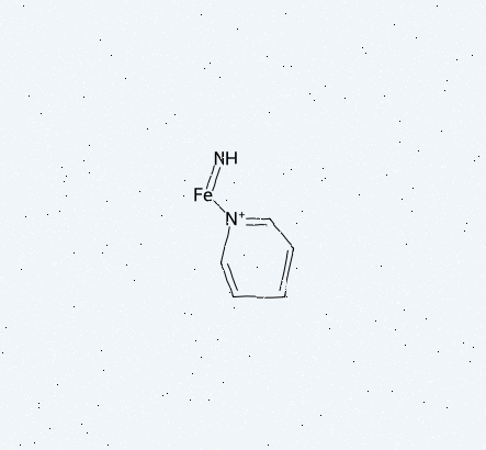 [NH]=[Fe][n+]1ccccc1